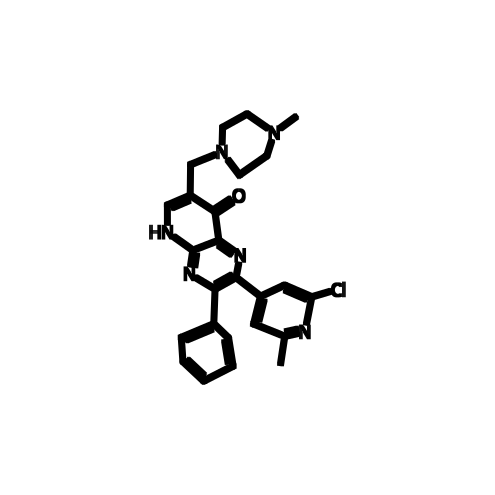 Cc1cc(-c2nc3c(=O)c(CN4CCN(C)CC4)c[nH]c3nc2-c2ccccc2)cc(Cl)n1